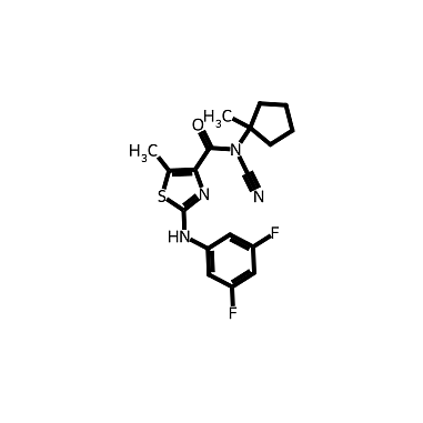 Cc1sc(Nc2cc(F)cc(F)c2)nc1C(=O)N(C#N)C1(C)CCCC1